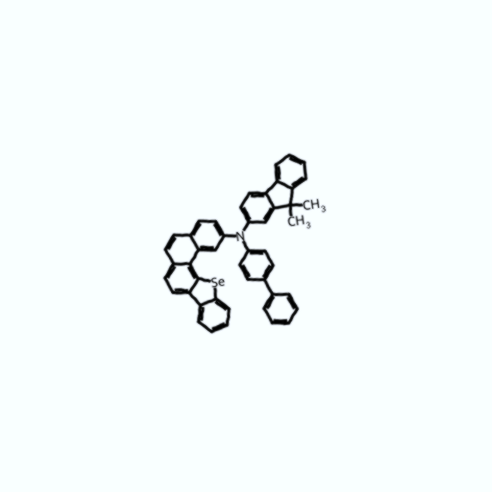 CC1(C)c2ccccc2-c2ccc(N(c3ccc(-c4ccccc4)cc3)c3ccc4ccc5ccc6c7ccccc7[se]c6c5c4c3)cc21